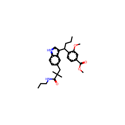 CCCNC(=O)C(C)(C)Cc1ccc2[nH]cc(C(CCC)c3ccc(C(=O)OC)cc3OC)c2c1